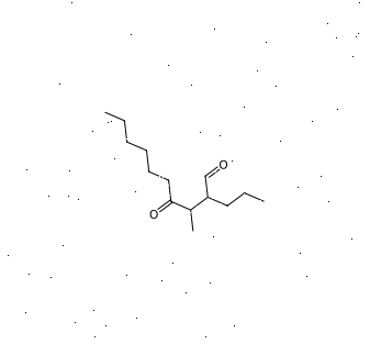 CCCCCCC(=O)C(C)C(C=O)CCC